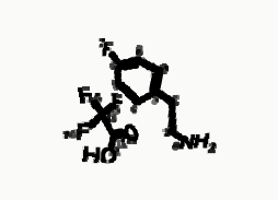 NCCc1ccc(F)cc1.O=C(O)C(F)(F)F